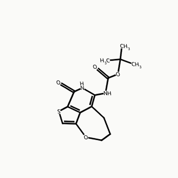 CC(C)(C)OC(=O)Nc1[nH]c(=O)c2scc3c2c1CCCO3